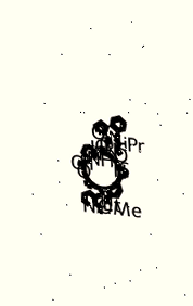 CCn1c(-c2cccnc2[C@H](C)OC)c2c3cc(ccc31)-c1csc(n1)C[C@H](NC(=O)[C@H](C(C)C)N(C)C(=O)[C@H]1OCC[C@H]1c1ccccc1)C(=O)N1CCC[C@H](N1)C(=O)OCC(C)(C)C2